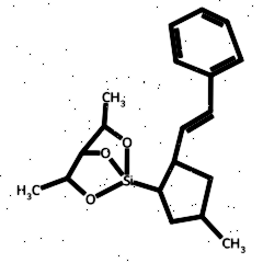 CC1CC(/C=C/c2ccccc2)C([Si]23OC(C)C(O2)C(C)O3)C1